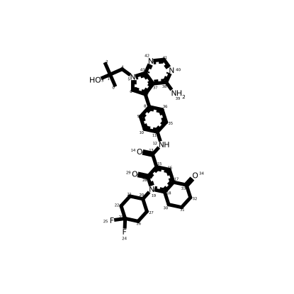 CC(C)(O)Cn1cc(-c2ccc(NC(=O)c3cc4c(n(C5CCC(F)(F)CC5)c3=O)CCCC4=O)cc2)c2c(N)ncnc21